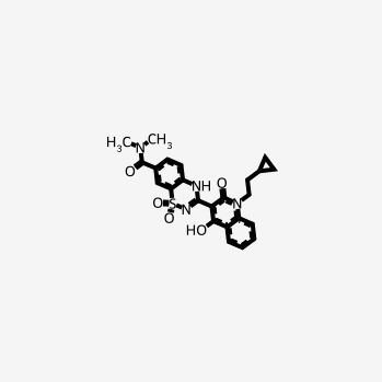 CN(C)C(=O)c1ccc2c(c1)S(=O)(=O)N=C(c1c(O)c3ccccc3n(CCC3CC3)c1=O)N2